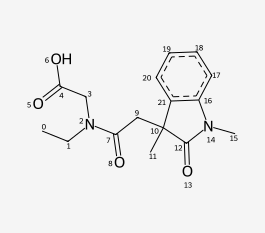 CCN(CC(=O)O)C(=O)CC1(C)C(=O)N(C)c2ccccc21